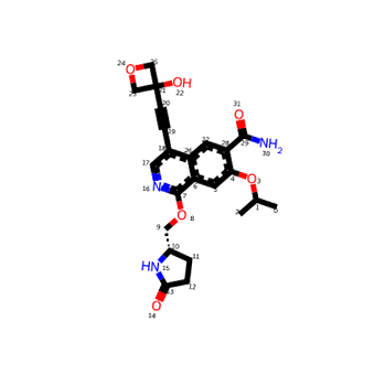 CC(C)Oc1cc2c(OC[C@@H]3CCC(=O)N3)ncc(C#CC3(O)COC3)c2cc1C(N)=O